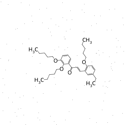 CCCCCOc1ccc(CC)cc1C=CC(=O)c1cccc(OCCCCC)c1OCCCCC